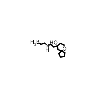 BCCNCC[C@@]1(O)CCOC2(CCCC2)C1